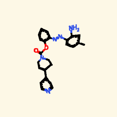 Cc1ccc(/N=N/c2ccccc2OC(=O)N2CCC(c3ccncc3)CC2)c(N)c1